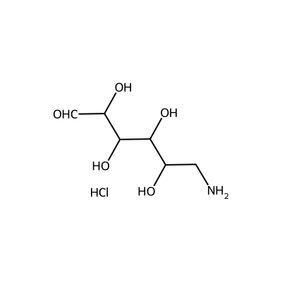 Cl.NCC(O)C(O)C(O)C(O)C=O